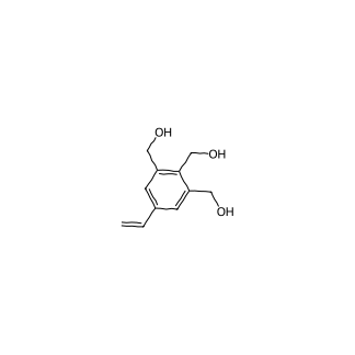 C=Cc1cc(CO)c(CO)c(CO)c1